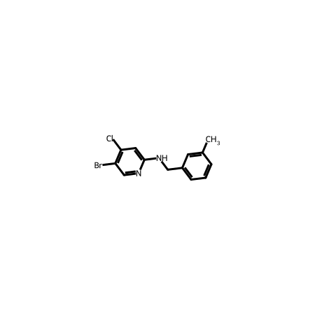 Cc1cccc(CNc2cc(Cl)c(Br)cn2)c1